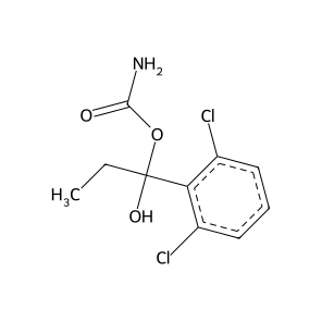 CCC(O)(OC(N)=O)c1c(Cl)cccc1Cl